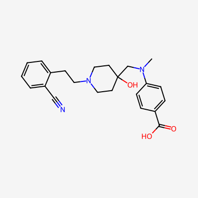 CN(CC1(O)CCN(CCc2ccccc2C#N)CC1)c1ccc(C(=O)O)cc1